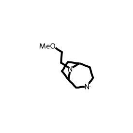 COCCN1C2CC[N]CC1CC2